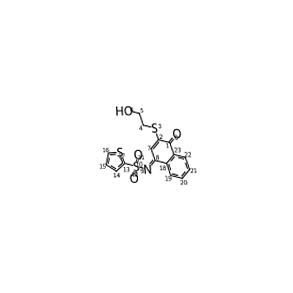 O=C1C(SCCO)=C/C(=N\S(=O)(=O)c2cccs2)c2ccccc21